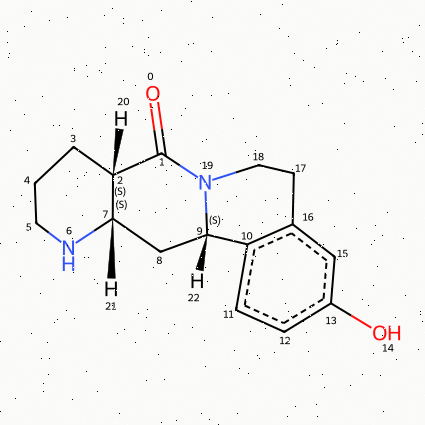 O=C1[C@H]2CCCN[C@H]2C[C@H]2c3ccc(O)cc3CCN12